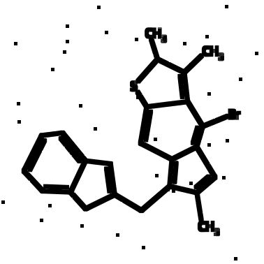 CC1=Cc2c(Br)c3c(cc2=C1CC1=Cc2ccccc2C1)SC(C)C=3C